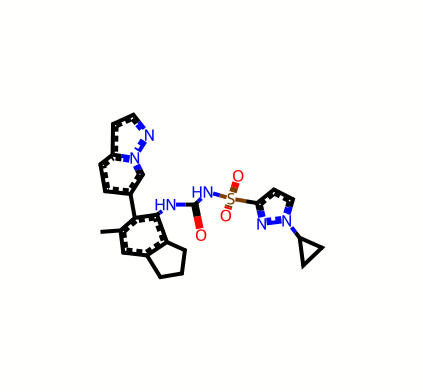 Cc1cc2c(c(NC(=O)NS(=O)(=O)c3ccn(C4CC4)n3)c1-c1ccc3ccnn3c1)CCC2